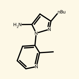 CCCCc1cc(N)n(-c2cccnc2C)n1